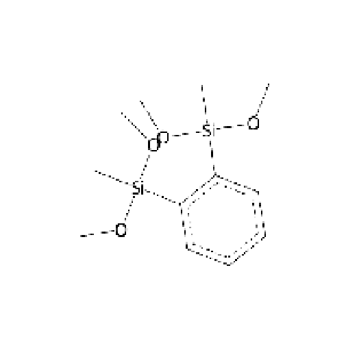 CO[Si](C)(OC)c1ccccc1[Si](C)(OC)OC